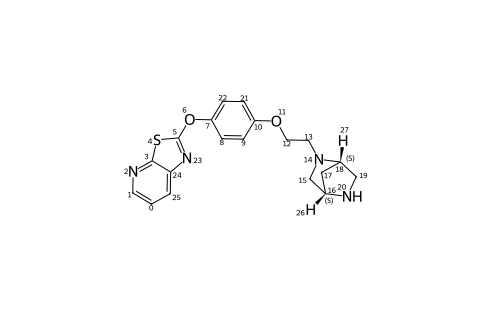 c1cnc2sc(Oc3ccc(OCCN4C[C@@H]5C[C@H]4CN5)cc3)nc2c1